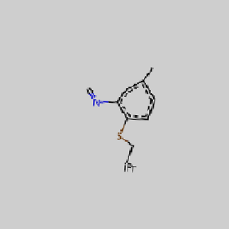 C=Nc1cc(C)ccc1SCC(C)C